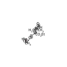 CCOC(=O)c1nc(N(C)c2cc(C)c(Nc3nc4ccccc4s3)nn2)sc1CCCOc1ccc(C#CCN(C)C(=O)OC(C)(C)C)cc1F